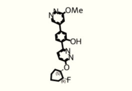 COc1cc(-c2ccc(-c3ccc(O[C@H]4CCCC[C@H]4F)nn3)c(O)c2)cnn1